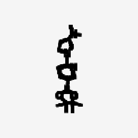 CN(C)C1CCN(c2ccc(B3OC(C)(C)C(C)(C)O3)cn2)C1